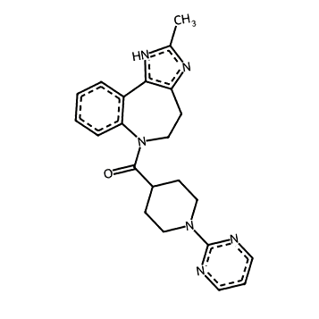 Cc1nc2c([nH]1)-c1ccccc1N(C(=O)C1CCN(c3ncccn3)CC1)CC2